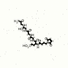 NC(=O)CNC(O)CNC(=O)CNC(=O)CNC(=O)C(CCC(=O)O)NC(=O)CCCN1C(=O)C=CC1=O